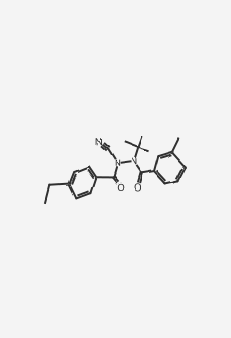 CCc1ccc(C(=O)N(C#N)N(C(=O)c2cccc(C)c2)C(C)(C)C)cc1